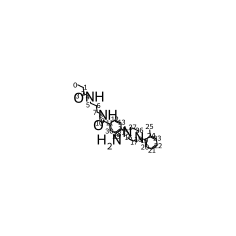 CCC(=O)NCCCNC(=O)c1ccc(N2CCN(c3ccccc3C)CC2)c(N)c1